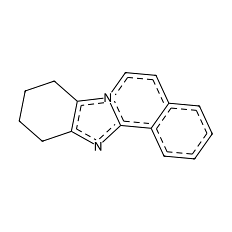 c1ccc2c(c1)ccn1c3c(nc21)CCCC3